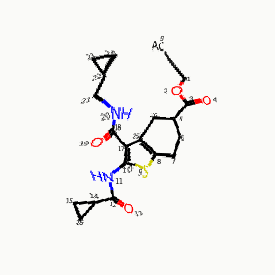 CC(=O)COC(=O)C1CCc2sc(NC(=O)C3CC3)c(C(=O)NCC3CC3)c2C1